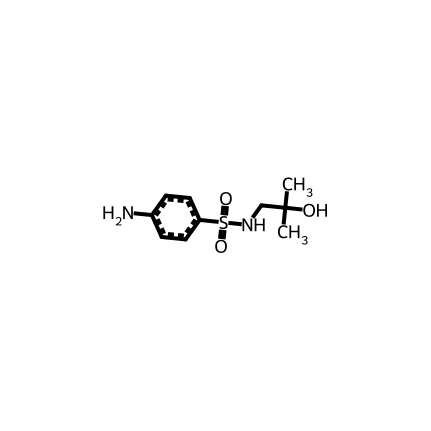 CC(C)(O)CNS(=O)(=O)c1ccc(N)cc1